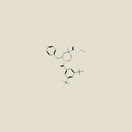 CCOC(=O)C1(C)CCN(C(=O)c2cc(C(F)(F)F)cc(C(F)(F)F)c2)C(Cc2ccccc2)C1